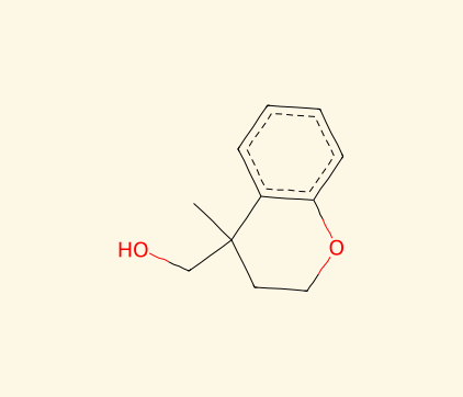 CC1(CO)CCOc2ccccc21